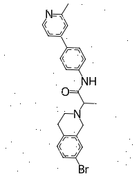 Cc1cc(-c2ccc(NC(=O)C(C)N3CCc4ccc(Br)cc4C3)cc2)ccn1